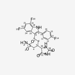 NS(=O)(=O)CC(CCc1c(-c2ccc(F)cc2)[nH]c2c(F)cc(F)cc12)C1NC(=O)NC1=O